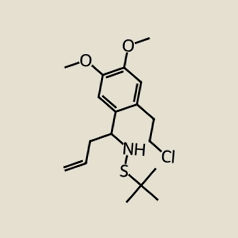 C=CCC(NSC(C)(C)C)c1cc(OC)c(OC)cc1CCCl